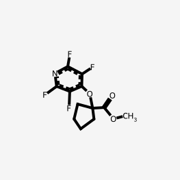 COC(=O)C1(Oc2c(F)c(F)nc(F)c2F)CCCC1